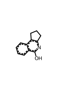 Oc1nc2c(c3ccccc13)CCC2